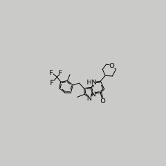 Cc1nn2c(=O)cc(C3CCOCC3)[nH]c2c1Cc1cccc(C(F)(F)F)c1C